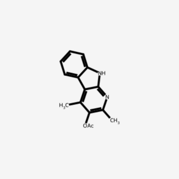 CC(=O)Oc1c(C)nc2[nH]c3ccccc3c2c1C